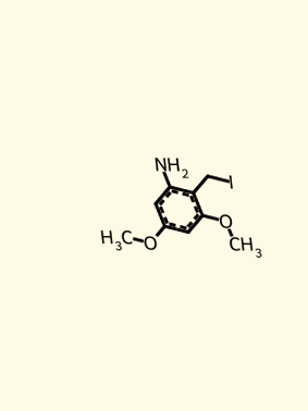 COc1cc(N)c(CI)c(OC)c1